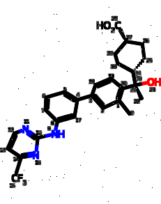 Cc1cc(-c2cccc(Nc3nccc(C(F)(F)F)n3)c2)ccc1[C@@](C)(O)[C@H]1CC[C@H](C(=O)O)CC1